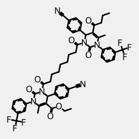 CCCC(=O)C1=C(C)N(c2cccc(C(F)(F)F)c2)C(=O)N(C(=O)CCCCCCCC(=O)N2C(=O)N(c3cccc(C(F)(F)F)c3)C(C)=C(C(=O)OCC)C2c2ccc(C#N)cc2)C1c1ccc(C#N)cc1